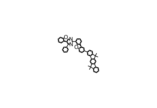 CC1(C)c2ccccc2-c2cc3c(cc21)-c1cc(-c2ccc4oc5c(-c6nc(-c7ccccc7)c7c(n6)oc6ccccc67)cccc5c4c2)ccc1C3(C)C